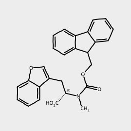 CN(C(=O)OCC1c2ccccc2-c2ccccc21)[C@@H](Cc1coc2ccccc12)C(=O)O